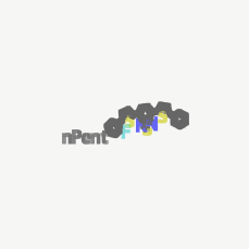 CCCCCc1ccc(-c2ccc(-c3ccc(-c4ccc(-c5ccccc5)s4)c4nsnc34)s2)c(F)c1